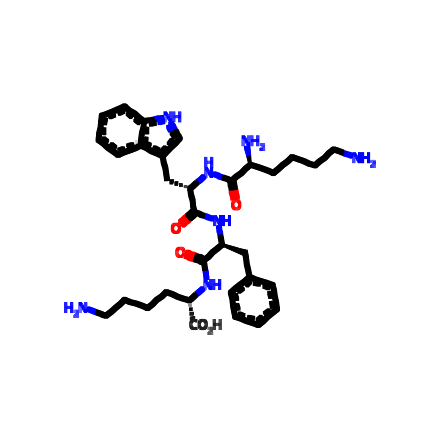 NCCCC[C@H](NC(=O)[C@H](Cc1ccccc1)NC(=O)[C@H](Cc1c[nH]c2ccccc12)NC(=O)[C@@H](N)CCCCN)C(=O)O